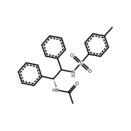 CC(=O)N[C@H](c1ccccc1)C(NS(=O)(=O)c1ccc(C)cc1)c1ccccc1